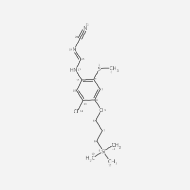 CSc1cc(OCCC[Si](C)(C)C)c(Cl)cc1N/C=N/C#N